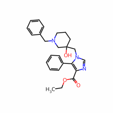 CCOC(=O)c1ncn(CC2(O)CCCN(Cc3ccccc3)C2)c1-c1ccccc1